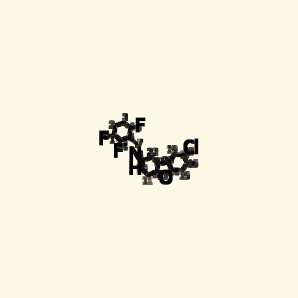 Fc1ccc(F)c(CNc2ccc3oc4ccc(Cl)cc4c3c2)c1F